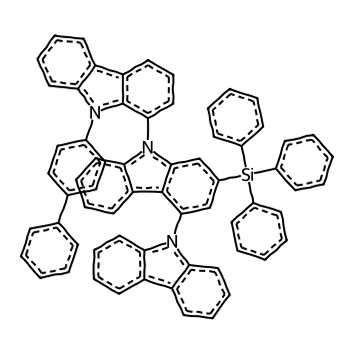 c1ccc(-c2ccc(-n3c4ccccc4c4cccc(-n5c6ccccc6c6c(-n7c8ccccc8c8ccccc87)cc([Si](c7ccccc7)(c7ccccc7)c7ccccc7)cc65)c43)cc2)cc1